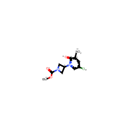 CC(C)(C)OC(=O)N1CC(n2cc(Cl)cc([N+](=O)[O-])c2=O)C1